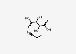 CCC#N.O=C(O)C(O)C(O)C(=O)O